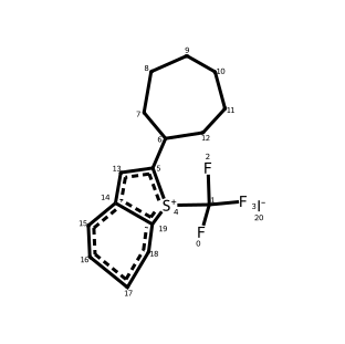 FC(F)(F)[s+]1c(C2CCCCCC2)cc2ccccc21.[I-]